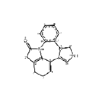 O=C1CC2=C3C(=CCC2)C2=CNCN2c2ccccc2N13